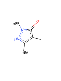 CCCCn1[nH]c(C(C)(C)C)c(C)c1=O